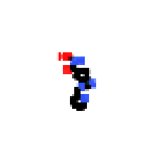 O=C(NO)c1ccc2ncn(Cc3ccccn3)c2c1